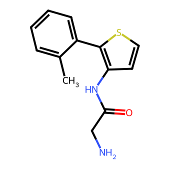 Cc1ccccc1-c1sccc1NC(=O)CN